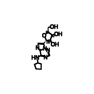 OC[C@H]1O[C@@H](c2cnc3c(NC4CCCC4)ncnn23)[C@H](O)[C@@H]1O